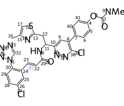 CNC(=O)Oc1ccc(-c2cc(C(Cc3nc(C)cs3)NC(=O)/C=C/c3cc(Cl)ccc3-n3cnnn3)nnc2Cl)cc1